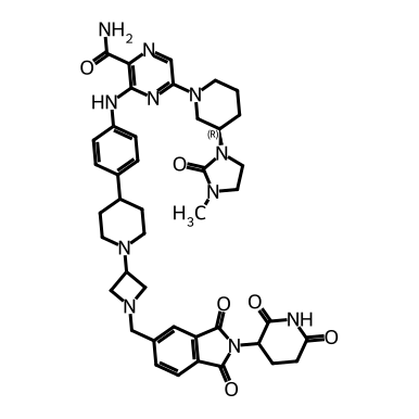 CN1CCN([C@@H]2CCCN(c3cnc(C(N)=O)c(Nc4ccc(C5CCN(C6CN(Cc7ccc8c(c7)C(=O)N(C7CCC(=O)NC7=O)C8=O)C6)CC5)cc4)n3)C2)C1=O